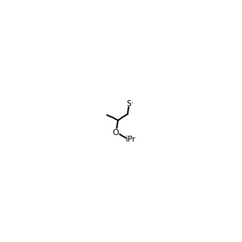 CC(C)OC(C)C[S]